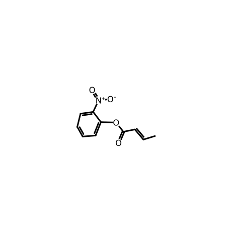 C/C=C/C(=O)Oc1ccccc1[N+](=O)[O-]